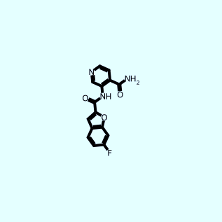 NC(=O)c1ccncc1NC(=O)c1cc2ccc(F)cc2o1